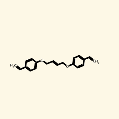 C=Cc1ccc(OCC=CCOc2ccc(C=C)cc2)cc1